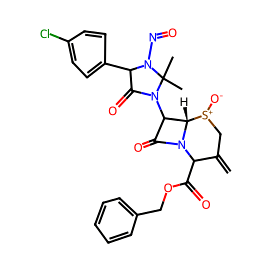 C=C1C[S+]([O-])[C@H]2C(N3C(=O)C(c4ccc(Cl)cc4)N(N=O)C3(C)C)C(=O)N2C1C(=O)OCc1ccccc1